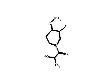 CC(O)C(=O)N1CCC(ON)C(F)C1